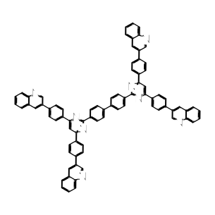 c1ccc2ncc(-c3ccc(-c4cc(-c5ccc(-c6cnc7ccccc7c6)cc5)nc(-c5ccc(-c6ccc(-c7nc(-c8ccc(-c9cnc%10ccccc%10c9)cc8)cc(-c8ccc(-c9cnc%10ccccc%10c9)cc8)n7)cc6)cc5)n4)cc3)cc2c1